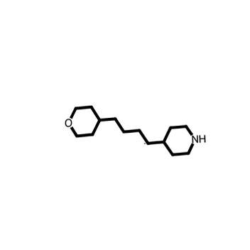 [CH](CCCC1CCOCC1)C1CCNCC1